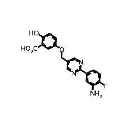 Nc1cc(-c2ncc(COc3ccc(O)c(C(=O)O)c3)cn2)ccc1F